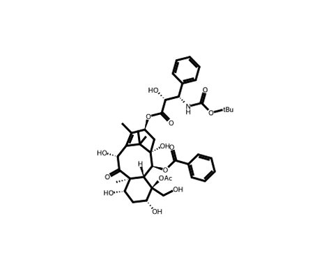 CC(=O)O[C@@]1(CO)[C@H](O)C[C@H](O)[C@@]2(C)C(=O)[C@H](O)C3=C(C)[C@@H](OC(=O)[C@H](O)[C@@H](NC(=O)OC(C)(C)C)c4ccccc4)C[C@@](O)([C@@H](OC(=O)c4ccccc4)[C@H]12)C3(C)C